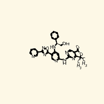 CC1(C)OC(=O)c2cnc(Nc3cc(N[C@H](CO)c4ccccc4)c(-c4nc(-c5cccnc5)no4)cn3)nc21